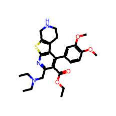 CCOC(=O)c1c(CN(CC)CC)nc2sc3c(c2c1-c1ccc(OC)c(OC)c1)CCNC3